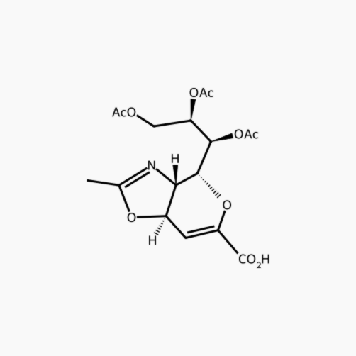 CC(=O)OC[C@@H](OC(C)=O)[C@@H](OC(C)=O)[C@@H]1OC(C(=O)O)=C[C@H]2OC(C)=N[C@H]12